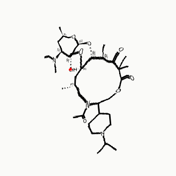 CO[C@]1(C)C[C@@H](C)CN(C(C)=O)C(C2CCN(C(C)C)CC2)COC(=O)C(C)(C)C(=O)[C@H](C)[C@H]1O[C@@H]1O[C@H](C)C[C@H](N(C)C)[C@H]1O